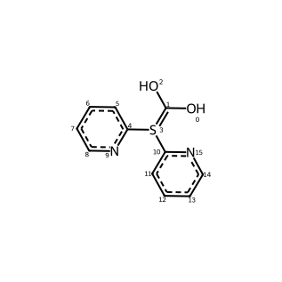 OC(O)=S(c1ccccn1)c1ccccn1